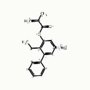 C=C(C)C(=O)Oc1cccc(-c2ccccc2)c1CC.Cl.N